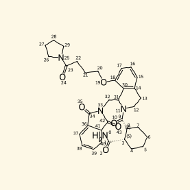 NC(=O)[C@H]1CCCC[C@H]1C(=O)N1CCc2cccc(OCCCC(=O)N3CCCC3)c2C1CN1C(=O)c2ccccc2C1=O